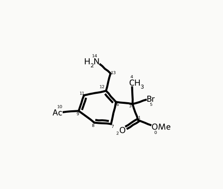 COC(=O)C(C)(Br)c1ccc(C(C)=O)cc1CN